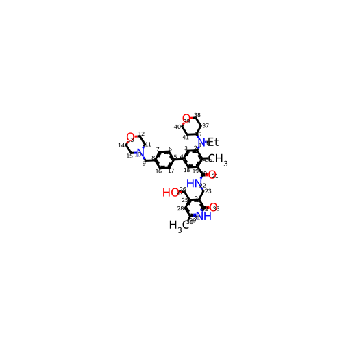 CCN(c1cc(-c2ccc(CN3CCOCC3)cc2)cc(C(=O)NCc2c(CO)cc(C)[nH]c2=O)c1C)C1CCOCC1